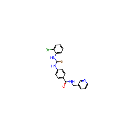 O=C(NCc1cccnc1)c1ccc(NC(=S)Nc2ccccc2Br)cc1